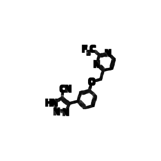 N#Cc1[nH]nnc1-c1cccc(OCc2ccnc(C(F)(F)F)n2)c1